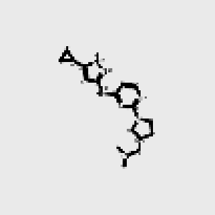 CN(C)C[C@@H]1CCN(c2nccc(Nc3cc(C4CC4)[nH]n3)n2)C1